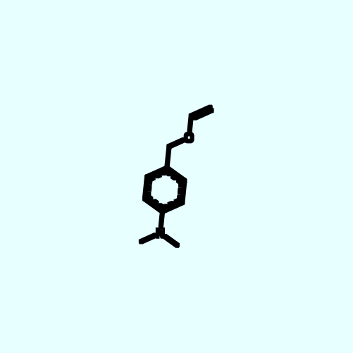 C=COCc1ccc(N(C)C)cc1